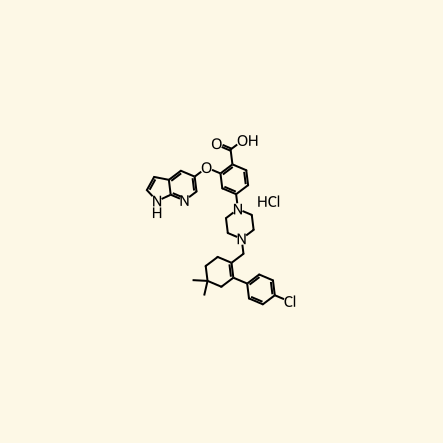 CC1(C)CCC(CN2CCN(c3ccc(C(=O)O)c(Oc4cnc5[nH]ccc5c4)c3)CC2)=C(c2ccc(Cl)cc2)C1.Cl